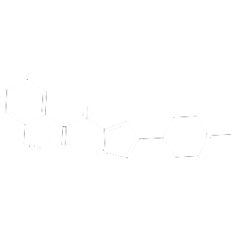 COc1ccccc1C(=O)Nc1cc(C2CCN(C)CC2)c[nH]1